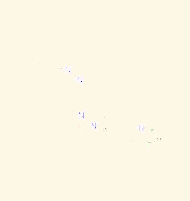 CC(C)c1ccc(N(C)c2ccc(C3CN(C(=O)N4CC5(CC(c6ccc(C(F)(F)F)nc6)C5)C4)C3)cn2)cc1